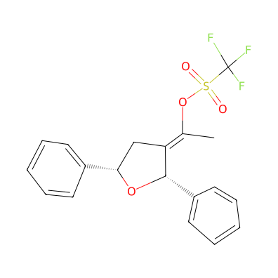 CC(OS(=O)(=O)C(F)(F)F)=C1C[C@@H](c2ccccc2)O[C@H]1c1ccccc1